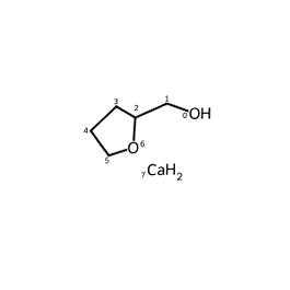 OCC1CCCO1.[CaH2]